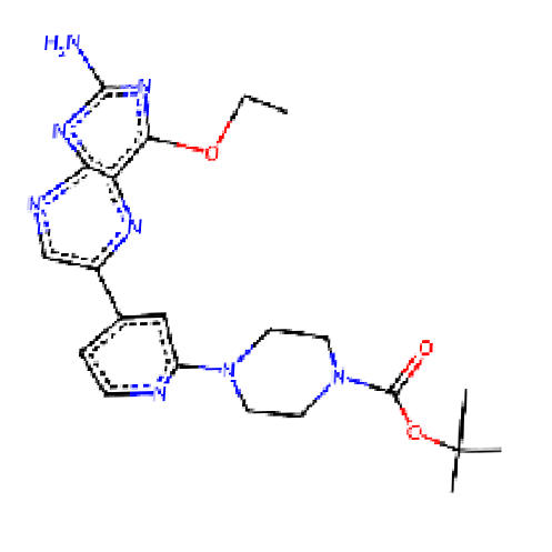 CCOc1nc(N)nc2ncc(-c3ccnc(N4CCN(C(=O)OC(C)(C)C)CC4)c3)nc12